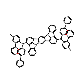 Cc1ccc(N(c2ccc(-c3ccccc3)cc2)c2ccc3c4cc5c(cc4n4c6ccccc6c2c34)c2ccc(N(c3ccc(-c4ccccc4)cc3)c3ccc(C)cc3-c3ccccc3)c3c4ccccc4n5c23)c(-c2ccccc2)c1